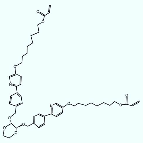 C=CC(=O)OCCCCCCCCOc1ccc(-c2ccc(CO[C@H]3OCCO[C@@H]3OCc3ccc(-c4ccc(OCCCCCCCCOC(=O)C=C)cn4)cc3)cc2)nc1